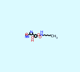 CCCCCCCNC(=O)Oc1ccc(O)c(-c2cncc(-c3nnco3)c2)c1